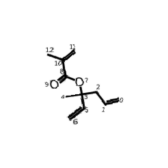 C=CCC(C)(C=C)OC(=O)C(=C)C